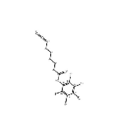 O=C=NCCCCCC(=O)Oc1c(F)c(F)c(F)c(F)c1F